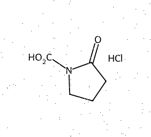 Cl.O=C(O)N1CCCC1=O